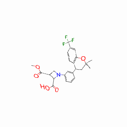 COC(=O)C1CN(c2cccc(C3CC(C)(C)Oc4cc(C(F)(F)F)ccc43)c2)C1C(=O)O